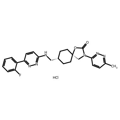 Cc1ccc(N2C[C@]3(CC[C@@H](CNc4ccc(-c5ccccc5F)nn4)CC3)OC2=O)nn1.Cl